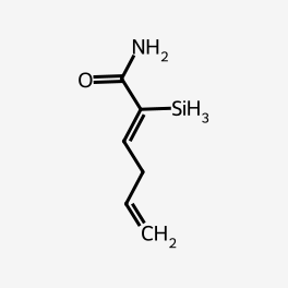 C=CCC=C([SiH3])C(N)=O